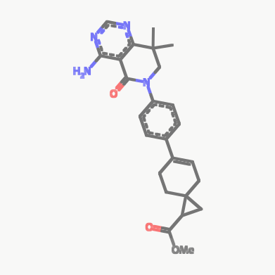 COC(=O)C1CC12CC=C(c1ccc(N3CC(C)(C)c4ncnc(N)c4C3=O)cc1)CC2